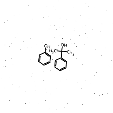 CC(C)(O)c1ccccc1.Oc1ccccc1